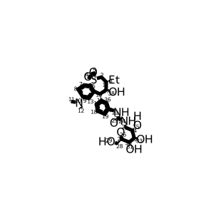 CC[C@H]1CS(=O)(=O)c2ccc(N(C)C)cc2[C@@H](c2cccc(NC(=O)N[C@@H]3O[C@H](CO)[C@@H](O)[C@H](O)[C@H]3O)c2)[C@H]1O